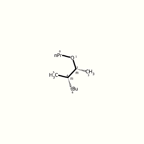 CCCO[C@H](C)[C@@H](C)C(C)(C)C